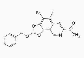 C[S+]([O-])c1ncc2c3c(c(Br)c(F)c2n1)OC(OCc1ccccc1)O3